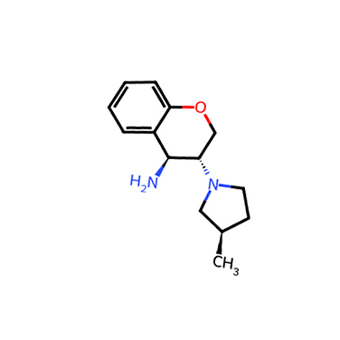 C[C@@H]1CCN([C@H]2COc3ccccc3[C@@H]2N)C1